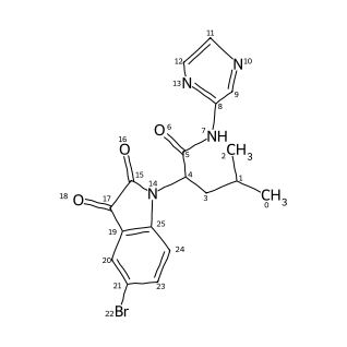 CC(C)CC(C(=O)Nc1cnccn1)N1C(=O)C(=O)c2cc(Br)ccc21